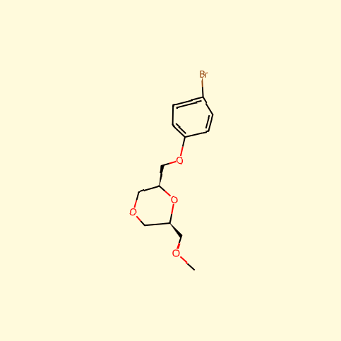 COC[C@H]1COC[C@@H](COc2ccc(Br)cc2)O1